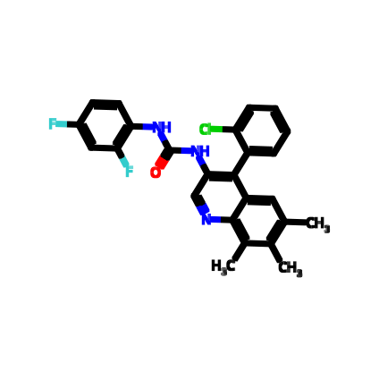 Cc1cc2c(-c3ccccc3Cl)c(NC(=O)Nc3ccc(F)cc3F)cnc2c(C)c1C